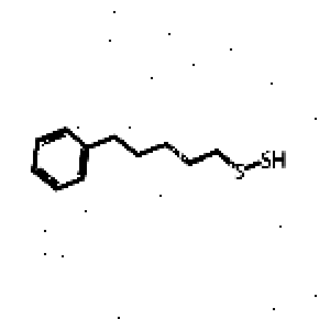 SSCCCCCc1ccccc1